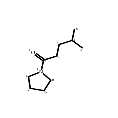 C[C](C)CCC(=O)N1CCCC1